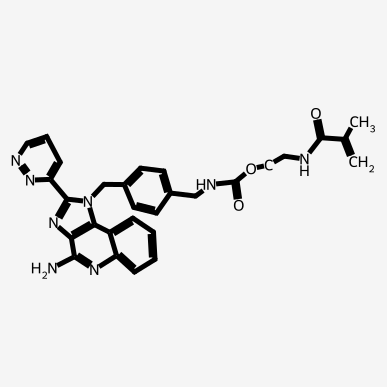 C=C(C)C(=O)NCCOC(=O)NCc1ccc(Cn2c(-c3cccnn3)nc3c(N)nc4ccccc4c32)cc1